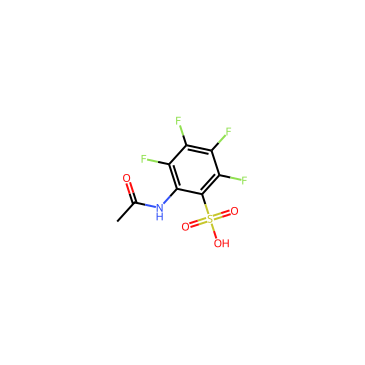 CC(=O)Nc1c(F)c(F)c(F)c(F)c1S(=O)(=O)O